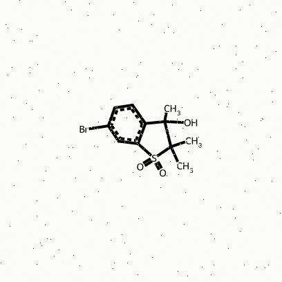 CC1(O)c2ccc(Br)cc2S(=O)(=O)C1(C)C